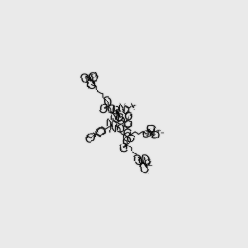 COc1ccc(-c2nc(OCC(COC(=O)CCCO[N+](=O)[O-])OC(=O)CCCO[N+](=O)[O-])c(Oc3ccccc3OC)c(N(COC(=O)OCCCCO[N+](=O)[O-])S(=O)(=O)c3ccc(C(C)(C)C)cn3)n2)cc1